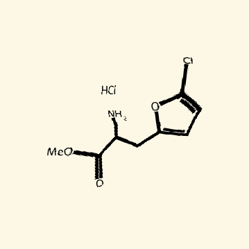 COC(=O)C(N)Cc1ccc(Cl)o1.Cl